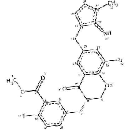 COC(=O)c1cc(C[C@H]2COc3c(Br)cc(Cn4ccn(C)c4=N)cc3C2=O)ccc1F